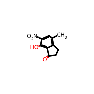 Cc1cc([N+](=O)[O-])c(O)c2c1CCC2=O